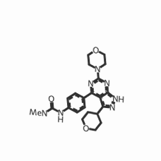 CNC(=O)Nc1ccc(-c2nc(N3CCOCC3)nc3[nH]nc(C4CCOCC4)c23)cc1